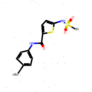 CCCCc1ccc(NC(=O)c2ccc(NS(=O)(=O)C(C)C)s2)cc1